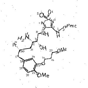 CCCCCNC1=NS(=O)(=O)N=C1NC[C@H](O)[C@@H](N)C[C@H](Cc1ccc(OC)c(OCCCOC)c1)C(C)C